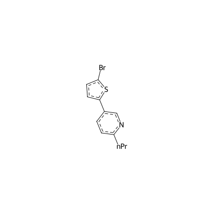 CCCc1ccc(-c2ccc(Br)s2)cn1